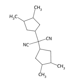 CC1CC(C(C#N)(C#N)C2CC(C)C(C)C2)CC1C